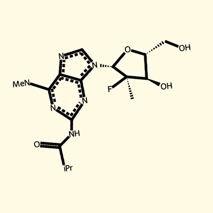 CNc1nc(NC(=O)C(C)C)nc2c1ncn2[C@@H]1O[C@H](CO)[C@@H](O)[C@@]1(C)F